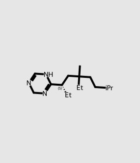 CC[C@@H](CC(C)(CC)CCC(C)C)C1=NCN=CN1